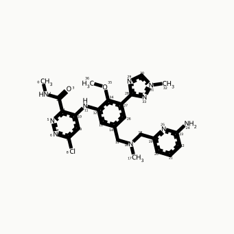 CNC(=O)c1nnc(Cl)cc1Nc1cc(CN(C)Cc2cccc(N)n2)cc(-c2ncn(C)n2)c1OC